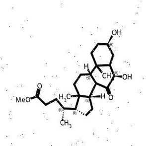 COC(=O)CC[C@@H](C)[C@H]1CC[C@H]2C3C(=O)[C@H](O)C4C[C@H](O)CCC4(C)[C@H]3CCC12C